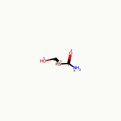 NC(=O)[SH]=CO